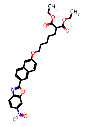 CCOC(=O)C(CCCCCOc1ccc2cc(-c3nc4ccc([N+](=O)[O-])cc4o3)ccc2c1)C(=O)OCC